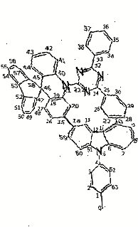 Cc1ccc(-n2c3ccccc3c3cc(-c4ccc5c(c4)N(c4nc(-c6ccccc6)nc(-c6ccccc6)n4)c4ccccc4C54c5ccccc5-c5ccccc54)ccc32)cc1